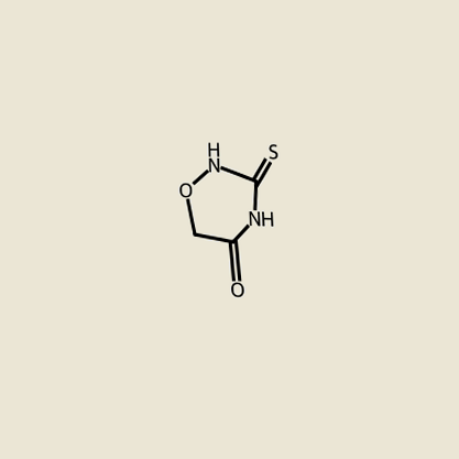 O=C1CONC(=S)N1